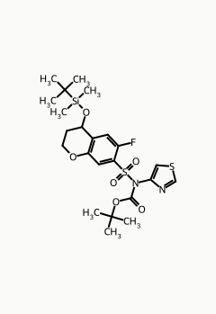 CC(C)(C)OC(=O)N(c1cscn1)S(=O)(=O)c1cc2c(cc1F)C(O[Si](C)(C)C(C)(C)C)CCO2